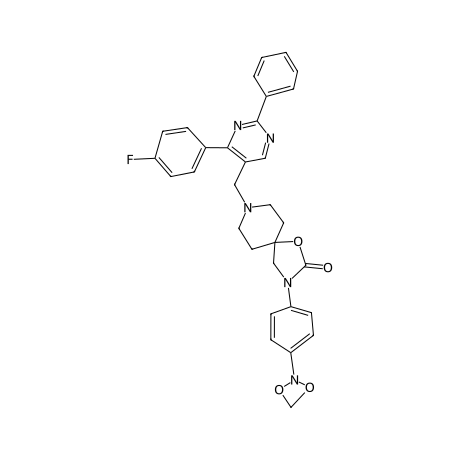 O=C1OC2(CCN(Cc3cnc(-c4ccccc4)nc3-c3ccc(F)cc3)CC2)CN1c1ccc(N2OCO2)cc1